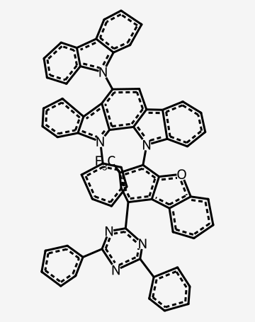 FC(F)(F)c1cc(-c2nc(-c3ccccc3)nc(-c3ccccc3)n2)c2c(oc3ccccc32)c1-n1c2ccccc2c2cc(-n3c4ccccc4c4ccccc43)c3c4ccccc4n(-c4ccccc4)c3c21